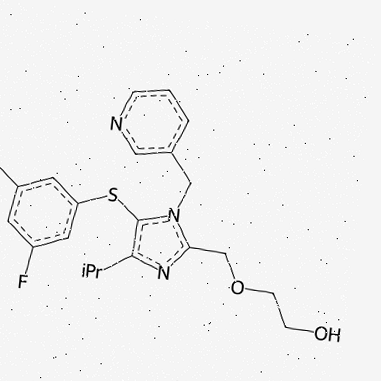 CC(C)c1nc(COCCO)n(Cc2cccnc2)c1Sc1cc(F)cc(F)c1